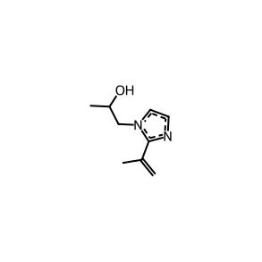 C=C(C)c1nccn1CC(C)O